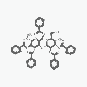 CCCCO[C@@H]1OC(COC(=O)c2ccccc2)[C@@H](O[C@@H]2OC(CO)[C@H](O)[C@H](OC(=O)c3ccccc3)C2OC(=O)c2ccccc2)[C@H](OC(=O)c2ccccc2)C1OC(=O)c1ccccc1